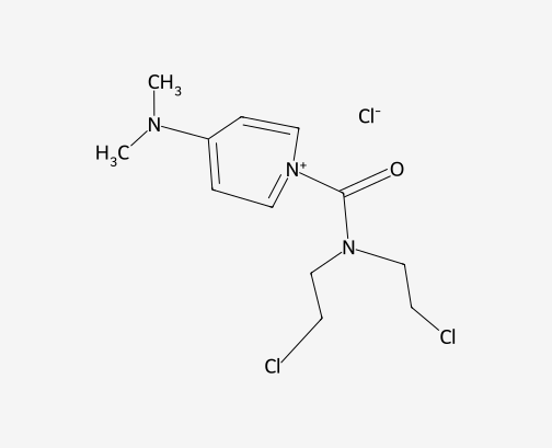 CN(C)c1cc[n+](C(=O)N(CCCl)CCCl)cc1.[Cl-]